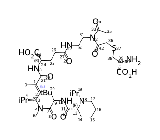 C/C(=C\[C@H](C(C)C)N(C)C(=O)C(NC(=O)[C@H]1CCCCN1C(C)C)C(C)(C)C)C(=O)N[C@H](CCC(=O)NCCN1C(=O)CC(SC[C@H](N)C(=O)O)C1=O)C(=O)O